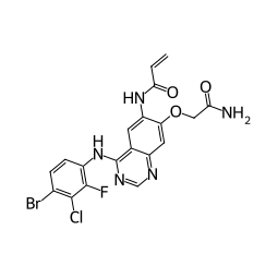 C=CC(=O)Nc1cc2c(Nc3ccc(Br)c(Cl)c3F)ncnc2cc1OCC(N)=O